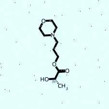 C[C@H](O)C(=O)OCCCN1CCOCC1